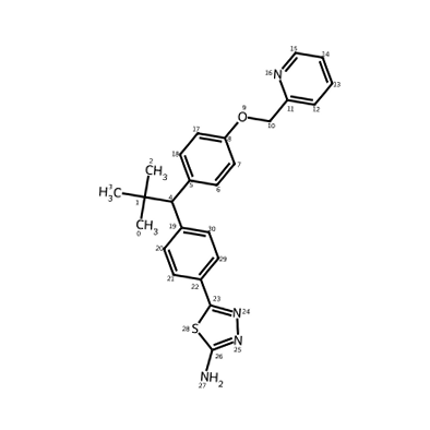 CC(C)(C)C(c1ccc(OCc2ccccn2)cc1)c1ccc(-c2nnc(N)s2)cc1